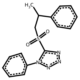 CC(CS(=O)(=O)c1nnnn1-c1ccccc1)c1ccccc1